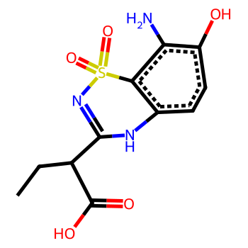 CCC(C(=O)O)C1=NS(=O)(=O)c2c(ccc(O)c2N)N1